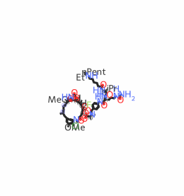 CCCCCC(CC)NCCCCCC(=O)N[C@H](C(=O)N[C@@H](CCCNC(N)=O)C(=O)Nc1ccc(C(=O)N(C)[C@@H](C)C(=O)O[C@H]2CC(=O)N(C)c3cc(cc(OC)c3Cl)C/C(C)=C/C=C/[C@@H](OC)[C@@]3(O)C[C@H](OC(=O)N3)[C@@H](C)[C@@H]3O[C@@]23C)c(F)c1)C(C)C